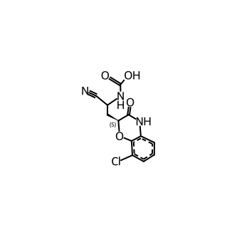 N#CC(C[C@@H]1Oc2c(Cl)cccc2NC1=O)NC(=O)O